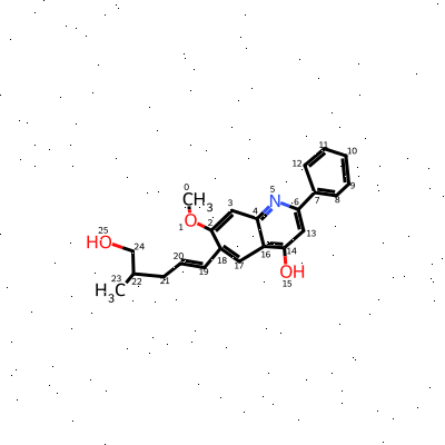 COc1cc2nc(-c3ccccc3)cc(O)c2cc1/C=C/CC(C)CO